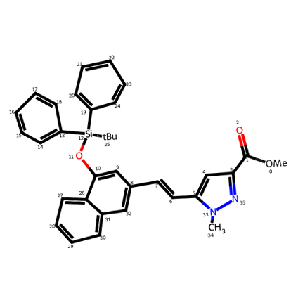 COC(=O)c1cc(C=Cc2cc(O[Si](c3ccccc3)(c3ccccc3)C(C)(C)C)c3ccccc3c2)n(C)n1